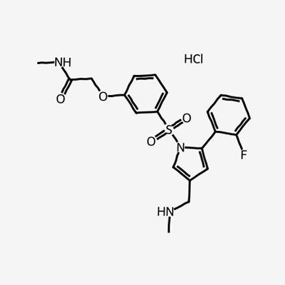 CNCc1cc(-c2ccccc2F)n(S(=O)(=O)c2cccc(OCC(=O)NC)c2)c1.Cl